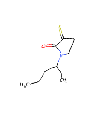 CCCC(C)N1CCC(=S)C1=O